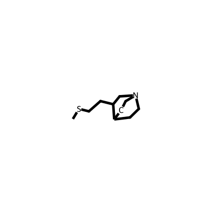 CSCCC1CN2CCC1CC2